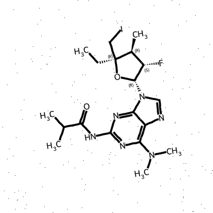 CC[C@@]1(CI)O[C@@H](n2cnc3c(N(C)C)nc(NC(=O)C(C)C)nc32)[C@@H](F)[C@@H]1C